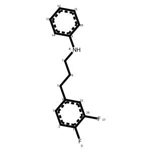 Fc1ccc(CCCNc2cc[c]cc2)cc1F